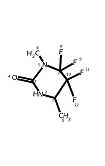 CC1NC(=O)N(C)C(F)(F)C1(F)F